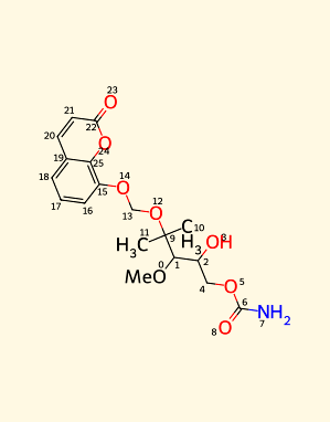 COC(C(O)COC(N)=O)C(C)(C)OCOc1cccc2ccc(=O)oc12